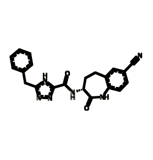 N#Cc1ccc2c(c1)CC[C@@H](NC(=O)c1nnc(Cc3ccccc3)[nH]1)C(=O)N2